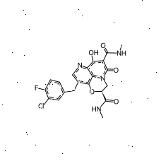 CNC(=O)c1c(O)c2ncc(Cc3ccc(F)c(Cl)c3)c3c2n(c1=O)C[C@@H](C(=O)NC)O3